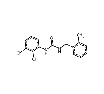 Cc1ccccc1CNC(=O)Nc1cccc(Cl)c1O